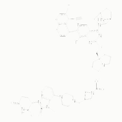 C#Cc1c(F)ccc2cccc(-c3ncc4c(N5CC6CCC(C5)N6)nc(OC[C@@]56CCCN5[C@H](COC(=O)N5CC(CN7CCN(c8cccc9c8n(C)c(=O)n9C8CCC(=O)NC8=O)CC7)C5)CC6)nc4c3F)c12